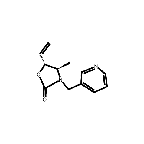 C=C[C@H]1OC(=O)N(Cc2cccnc2)[C@@H]1C